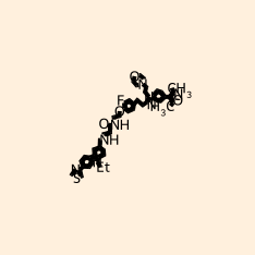 CCn1c2ccc(CNC=CC(=O)NCCOc3ccc(CCc4nc5cc(-c6c(C)noc6C)ccc5n4CCN4CCOCC4)cc3F)cc2c2ccc(-c3cscn3)cc21